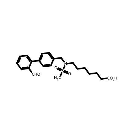 CS(=O)(=O)N(CCCCCCC(=O)O)Cc1ccc(-c2ccccc2C=O)cc1